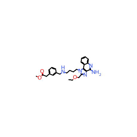 CCOCc1nc2c(N)nc3ccccc3c2n1CCCCNCc1cccc(CC(=O)OC)c1